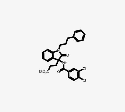 CCOC(=O)CCC1(NC(=O)c2ccc(Cl)c(Cl)c2)C(=O)N(CCCc2ccccc2)c2ccccc21